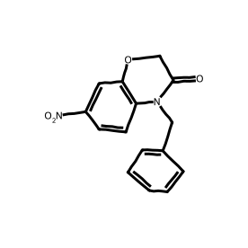 O=C1COc2cc([N+](=O)[O-])ccc2N1Cc1ccccc1